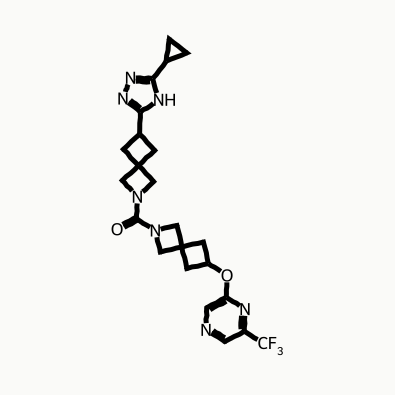 O=C(N1CC2(CC(Oc3cncc(C(F)(F)F)n3)C2)C1)N1CC2(CC(c3nnc(C4CC4)[nH]3)C2)C1